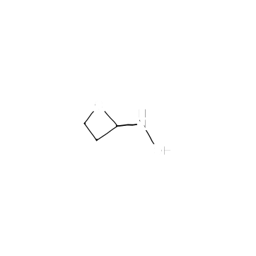 ONC1CCO1